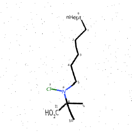 CCCCCCCCCCCCN(Cl)C(C)(C)C(=O)O